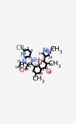 Cc1cc([C@@H](C)Nc2ccc(Cl)nc2N2CCOCC2)c2oc(-c3cnn(C)c3)c(C)c(=O)c2c1